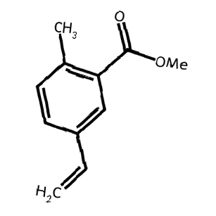 C=Cc1ccc(C)c(C(=O)OC)c1